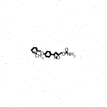 CN1CC=CC=C1COc1ccc(-c2cc(COC(N)=O)on2)cc1